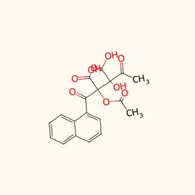 CC(=O)OC(C(=O)O)(C(=O)c1cccc2ccccc12)C(O)(C(C)=O)C(=O)O